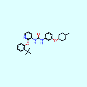 CC1CCC(Oc2cccc(NC(=O)Nc3cccnc3Oc3ccccc3C(C)(C)C)c2)CC1